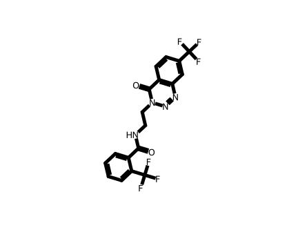 O=C(NCCn1nnc2cc(C(F)(F)F)ccc2c1=O)c1ccccc1C(F)(F)F